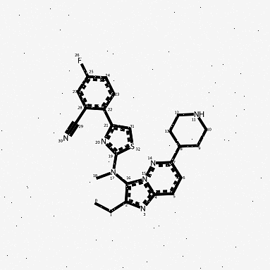 CCc1nc2ccc(C3CCNCC3)nn2c1N(C)c1nc(-c2ccc(F)cc2C#N)cs1